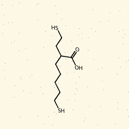 O=C(O)C(CCS)CCCCCS